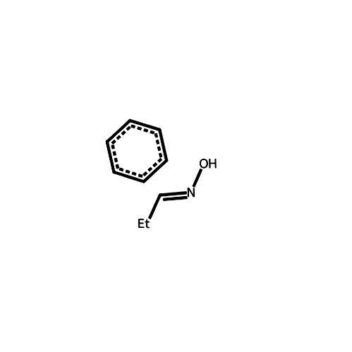 CCC=NO.c1ccccc1